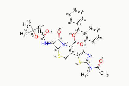 CC(=O)N(C)c1ncc(C2=C(C(=O)OC(c3ccccc3)c3ccccc3)N3C(=O)C(NC(=O)OC(C)(C)C)C3SC2)s1